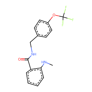 CNc1ccccc1C(=O)NCc1ccc(OC(F)(F)F)cc1